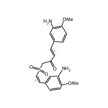 COc1ccc(/C=C\S(=O)(=O)CC(=O)/C=C/c2ccc(OC)c(N)c2)cc1N